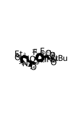 CCOc1ccc(C2(Oc3ccc(C(=O)NS(=O)(=O)C(C)(C)C)c(F)c3F)COC2)nc1